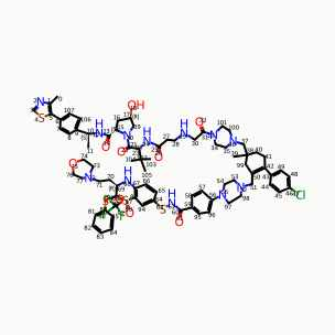 Cc1ncsc1-c1ccc([C@H](C)NC(=O)[C@@H]2C[C@@H](O)CN2C(=O)[C@@H](NC(=O)CCNCC(=O)N2CCN(CC3(C)CCC(c4ccc(Cl)cc4)=C(CN4CCN(c5ccc(C(=O)NSc6ccc(N[C@H](CCN7CCOCC7)CSc7ccccc7)c(S(=O)(=O)C(F)(F)F)c6)cc5)CC4)C3)CC2)C(C)(C)C)cc1